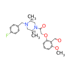 COc1cccc(OCC(=O)N2C[C@@H](C)N(Cc3ccc(F)cc3)C[C@@H]2C)c1C=O